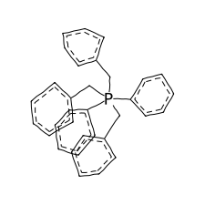 c1ccc(CP(Cc2ccccc2)(Cc2ccccc2)(c2ccccc2)c2ccccc2)cc1